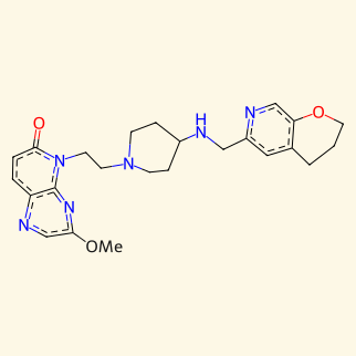 COc1cnc2ccc(=O)n(CCN3CCC(NCc4cc5c(cn4)OCCC5)CC3)c2n1